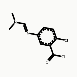 CN(C)C=Nc1ccc(Cl)c(C(=O)Cl)c1